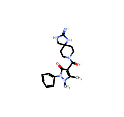 Cc1c(C(=O)N2CCC3(CC2)CNC(=N)N3)c(=O)n(-c2ccccc2)n1C